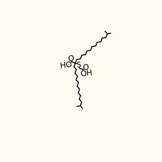 CC(C)CCCCCCCCCCCCC(CCCCCCCCCCCCC(C)C)(SCC(=O)O)C(=O)O